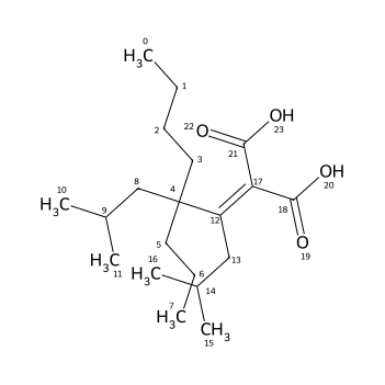 CCCCC(CCC)(CC(C)C)C(CC(C)C)=C(C(=O)O)C(=O)O